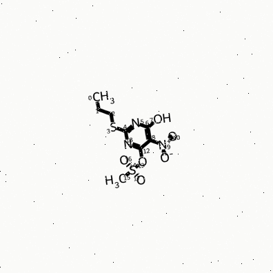 CCCSc1nc(O)c([N+](=O)[O-])c(OS(C)(=O)=O)n1